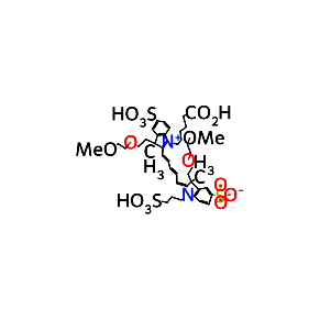 COCCOCCC1(C)C(/C=C/C=C/C=C2/N(CCCS(=O)(=O)O)c3ccc(S(=O)(=O)[O-])cc3C2(C)CCOCCOC)=[N+](CCCCCC(=O)O)c2ccc(S(=O)(=O)O)cc21